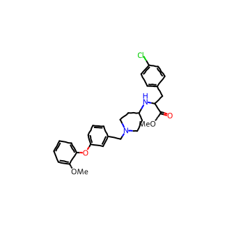 COC(=O)C(Cc1ccc(Cl)cc1)NC1CCN(Cc2cccc(Oc3ccccc3OC)c2)CC1